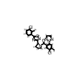 Cc1cc(-n2nccn2)c(C(=O)N2CCCC2c2noc(-c3cccc(Cl)c3C)n2)cc1Cl